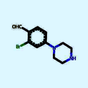 O=Cc1ccc(N2CCNCC2)cc1Br